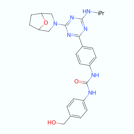 CC(C)Nc1nc(-c2ccc(NC(=O)Nc3ccc(CO)cc3)cc2)nc(N2CC3CCC(C2)O3)n1